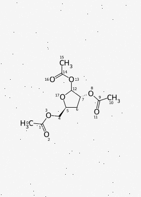 CC(=O)OC[C@@H]1C[C@@H](OC(C)=O)C(OC(C)=O)O1